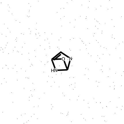 C1=C2NC([N]1)O2